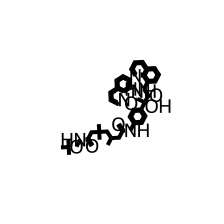 CC(CC(=O)Nc1ccc(C(O)(C(=O)Nc2cccc3cccnc23)C(=O)Nc2cccc3cccnc23)cc1)CC(C)(C)CC(=O)NOC(C)(C)C